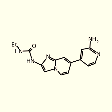 CCNC(=O)Nc1cn2ccc(-c3ccnc(N)c3)cc2n1